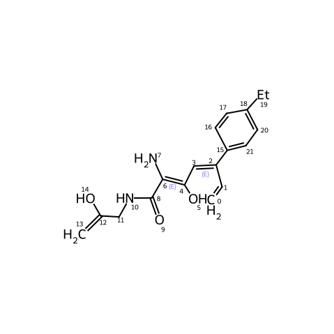 C=C/C(=C\C(O)=C(/N)C(=O)NCC(=C)O)c1ccc(CC)cc1